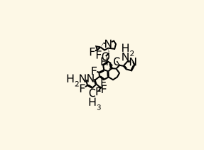 Cc1c(F)c(N)nc(-c2cc3c4c(cc(OC[C@@]56CCCN5C[C@]5(CC5(F)F)C6)cc4c2F)C([C@@H](C)c2cccnc2N)CCC3)c1C(F)(F)F